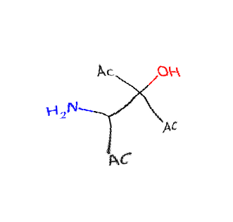 CC(=O)C(N)C(O)(C(C)=O)C(C)=O